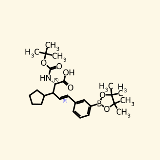 CC(C)(C)OC(=O)N[C@H](C(=O)O)C(/C=C/c1cccc(B2OC(C)(C)C(C)(C)O2)c1)C1CCCC1